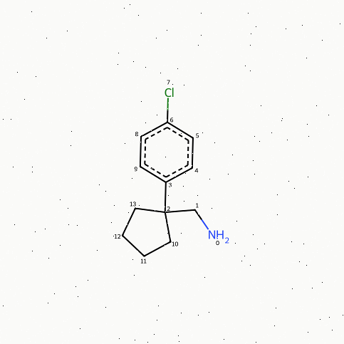 NCC1(c2ccc(Cl)cc2)CCCC1